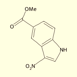 COC(=O)c1ccc2[nH]cc([N+](=O)[O-])c2c1